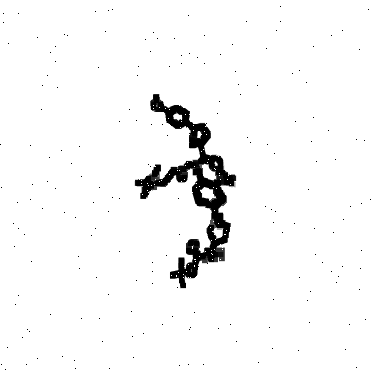 COc1ccc(-c2ccc(C(=O)N(COCC[Si](C)(C)C)c3ccc(N4CCC(NC(=O)OC(C)(C)C)C4)cc3Br)s2)cc1